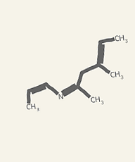 C/C=C\N=C(\C)C/C(C)=C/C